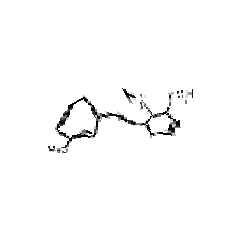 COc1cccc(C=Cc2cccc(C(=O)O)c2C)c1